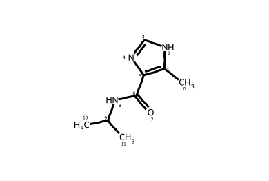 Cc1[nH]cnc1C(=O)NC(C)C